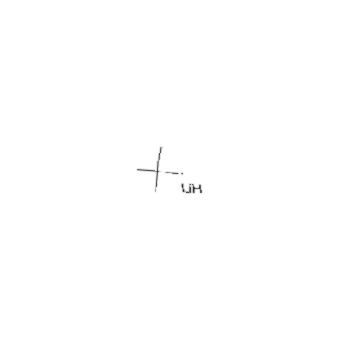 [CH2]C(C)(C)C.[LiH]